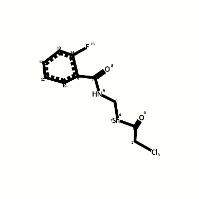 O=[C](CCl)[Sn][CH2]NC(=O)c1ccccc1F